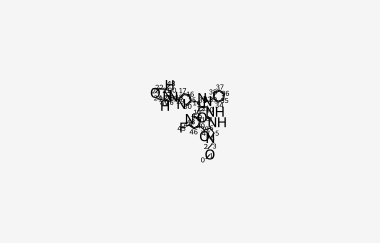 COCCN1C[C@@H](NC(=O)Nc2c(C)c(-c3ccc(N4C[C@H]5COC[C@@H](C4)N5C)nc3)nn2-c2ccccc2)[C@H](c2ccnc(F)c2)O1